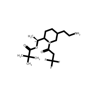 C[C@H](OC(=O)C(C)(C)C)C1CCC(CCN)CN1C(=O)CC(F)(F)F